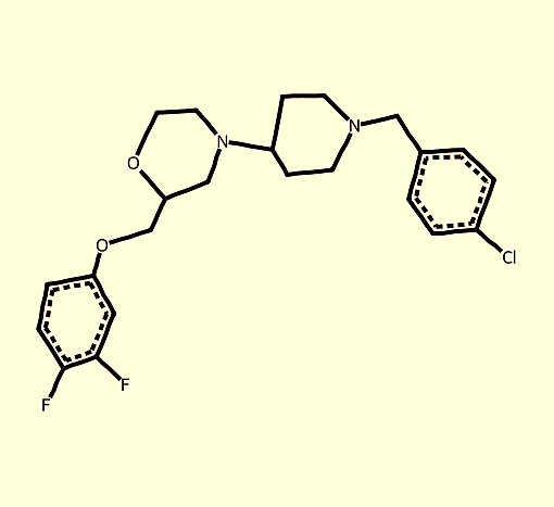 Fc1ccc(OCC2CN(C3CCN(Cc4ccc(Cl)cc4)CC3)CCO2)cc1F